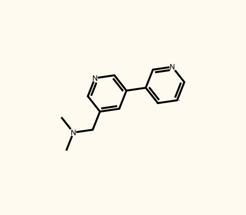 CN(C)Cc1cncc(-c2c[c]cnc2)c1